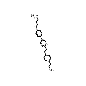 CCCCOc1ccc(-c2cnc(CCC3CCC(CCC)CC3)nc2)cc1